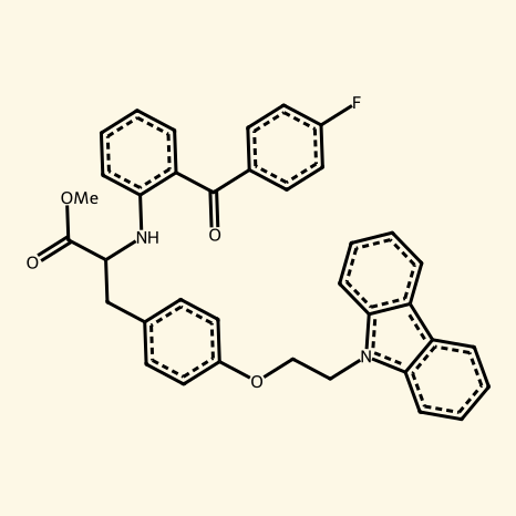 COC(=O)C(Cc1ccc(OCCn2c3ccccc3c3ccccc32)cc1)Nc1ccccc1C(=O)c1ccc(F)cc1